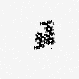 CC1CCCC(CNc2ccccc2C(=O)Nc2ccc(C(=N)N)cc2)N1CCC(=O)O